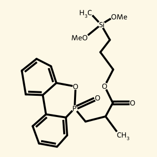 CO[Si](C)(CCCOC(=O)C(C)CP1(=O)Oc2ccccc2-c2ccccc21)OC